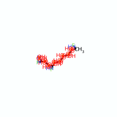 CC(CNF)COP(=O)(O)OCCOP(=O)(O)OCCOP(=O)(O)OCCOP(=O)(O)OCCOP(=O)(O)OCC(CNF)COP(=O)(O)OCCOP(=O)(O)OCC(CNF)COP(=O)(O)O